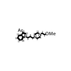 COCCN1CCN(CCCn2cc(C(C)=O)c3ccccc32)CC1